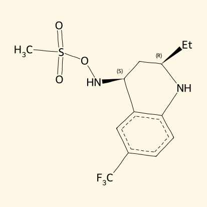 CC[C@@H]1C[C@H](NOS(C)(=O)=O)c2cc(C(F)(F)F)ccc2N1